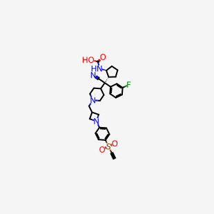 C#CS(=O)(=O)c1ccc(N2CC(CN3CCC(C(C#N)(c4cccc(F)c4)[C@H]4CCC[C@@H]4NC(=O)O)CC3)C2)cc1